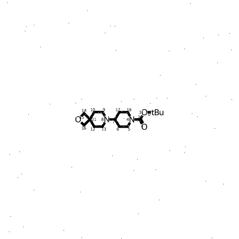 CC(C)(C)OC(=O)N1CCC(N2CCC3(CC2)COC3)CC1